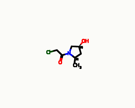 C[C@@H]1C[C@@H](O)CN1C(=O)CCl